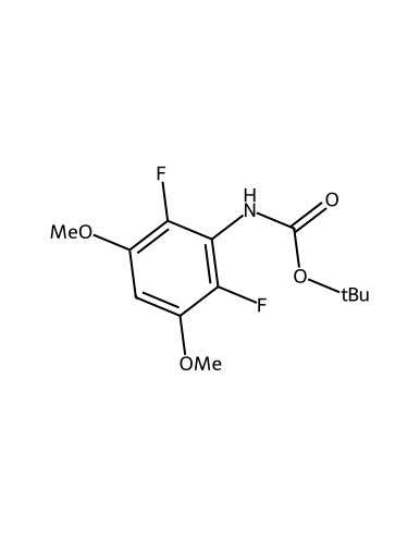 COc1cc(OC)c(F)c(NC(=O)OC(C)(C)C)c1F